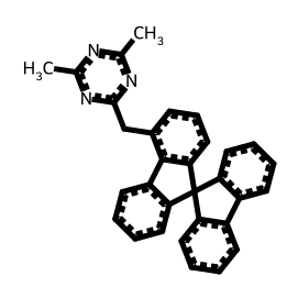 Cc1nc(C)nc(Cc2cccc3c2-c2ccccc2C32c3ccccc3-c3ccccc32)n1